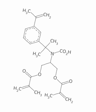 C=C(C)C(=O)OCC(COC(=O)C(=C)C)N(C(=O)O)C(C)(C)c1cccc(C(=C)C)c1